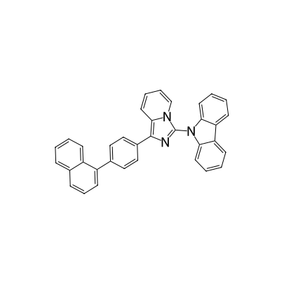 c1ccc2c(-c3ccc(-c4nc(-n5c6ccccc6c6ccccc65)n5ccccc45)cc3)cccc2c1